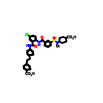 CCN(C1CCC(C(=O)O)CC1)[S+]([O-])c1cccc(C(=O)Nc2ccc(Cl)cc2C(=O)Nc2ccc(CCc3ccc(C(=O)O)cc3)cc2)c1